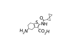 N[C@H]1CCc2sc(NC(=O)C3CC34CC4)c(C(=O)O)c2C1